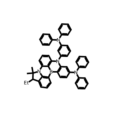 CCC1c2cccc3c2N(c2cccc4c2B3c2ccc(N(c3ccccc3)c3ccccc3)cc2N4c2cccc(N(c3ccccc3)c3ccccc3)c2)C1(C)C